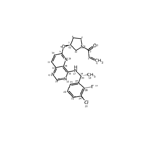 C=CC(=O)N1CC[C@H](Oc2ccc3ncnc(N[C@H](C)c4cccc(Cl)c4F)c3n2)C1